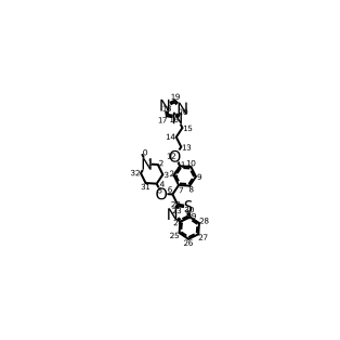 CN1CCC(OC(c2cccc(OCCCn3cncn3)c2)c2nc3ccccc3s2)CC1